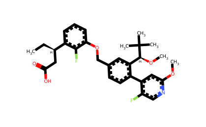 CC[C@H](CC(=O)O)c1cccc(OCc2ccc(-c3cc(OC)ncc3F)c([C@H](OC)C(C)(C)C)c2)c1F